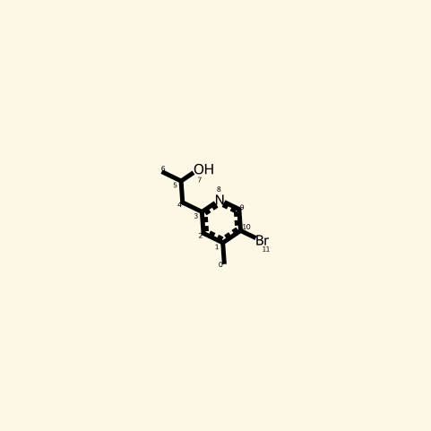 Cc1cc(CC(C)O)ncc1Br